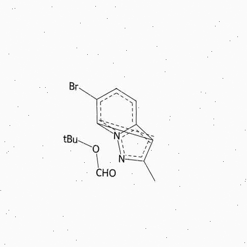 CC(C)(C)OC=O.Cc1nn2c3ccc(Br)c2c13